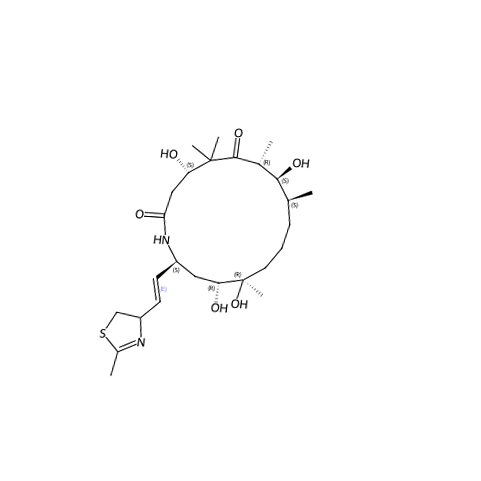 CC1=NC(/C=C/[C@@H]2C[C@@H](O)[C@](C)(O)CCC[C@H](C)[C@H](O)[C@@H](C)C(=O)C(C)(C)[C@@H](O)CC(=O)N2)CS1